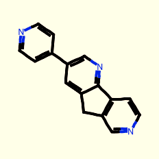 c1cc(-c2cnc3c(c2)Cc2cnccc2-3)ccn1